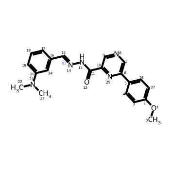 COc1ccc(-c2cncc(C(=O)N/N=C/c3cccc(N(C)C)c3)n2)cc1